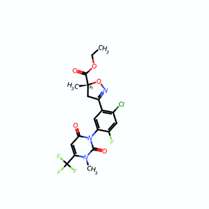 CCOC(=O)[C@@]1(C)CC(c2cc(-n3c(=O)cc(C(F)(F)F)n(C)c3=O)c(F)cc2Cl)=NO1